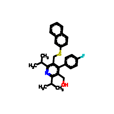 CC(C)c1nc(C(C)C)c(CSc2ccc3ccccc3c2)c(-c2ccc(F)cc2)c1CO